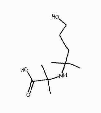 CC(C)(CCCO)NC(C)(C)C(=O)O